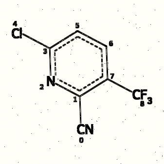 N#Cc1nc(Cl)ccc1C(F)(F)F